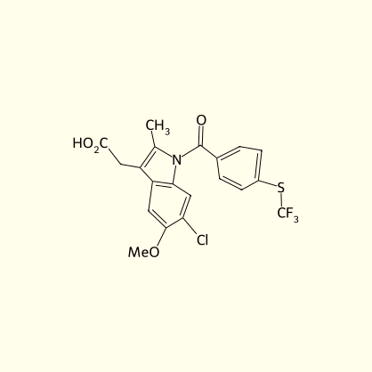 COc1cc2c(CC(=O)O)c(C)n(C(=O)c3ccc(SC(F)(F)F)cc3)c2cc1Cl